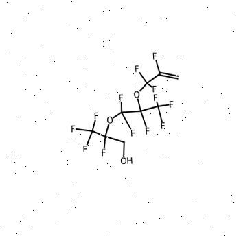 C=C(F)C(F)(F)OC(F)(C(F)(F)F)C(F)(F)OC(F)(CO)C(F)(F)F